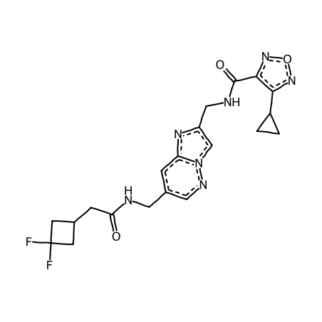 O=C(CC1CC(F)(F)C1)NCc1cnn2cc(CNC(=O)c3nonc3C3CC3)nc2c1